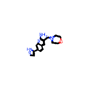 Nc1nc2cc(-c3ccn[nH]3)ccc2cc1CN1CCOCC1